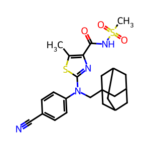 Cc1sc(N(CC23CC4CC(CC(C4)C2)C3)c2ccc(C#N)cc2)nc1C(=O)NS(C)(=O)=O